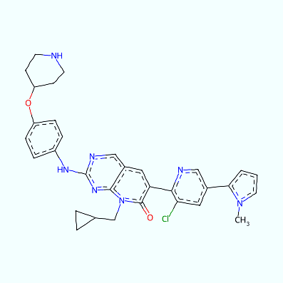 Cn1cccc1-c1cnc(-c2cc3cnc(Nc4ccc(OC5CCNCC5)cc4)nc3n(CC3CC3)c2=O)c(Cl)c1